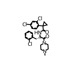 CN1CCN(C(=O)[C@H](Cc2ccccc2Cl)NC(=O)C2(c3ccc(Cl)cc3Cl)CC2)CC1